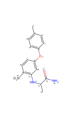 Cc1ccc(Oc2ccc([N+](=O)[O-])c(NC(C)C(N)=O)c2)cc1